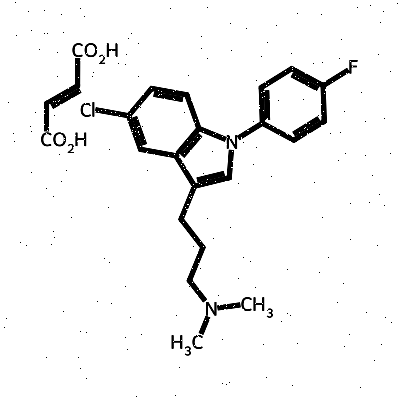 CN(C)CCCc1cn(-c2ccc(F)cc2)c2ccc(Cl)cc12.O=C(O)/C=C/C(=O)O